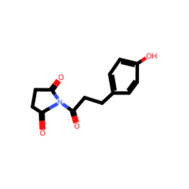 O=C1CCC(=O)N1C(=O)CCc1ccc(O)cc1